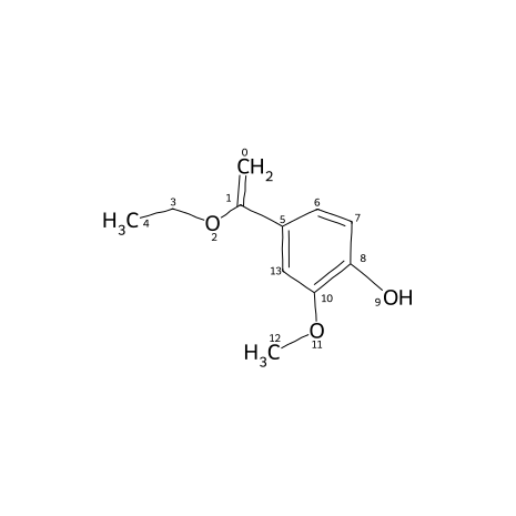 C=C(OCC)c1ccc(O)c(OC)c1